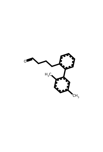 Cc1ccc(C)c(-c2ccccc2CCCC=O)c1